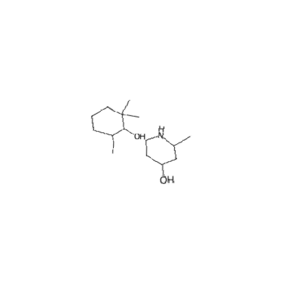 CC1CC(O)CCN1.CC1CCCC(C)(C)C1O